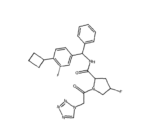 O=C(NC(c1ccccc1)c1ccc(C2CCC2)c(F)c1)C1CC(F)CN1C(=O)Cn1cnnn1